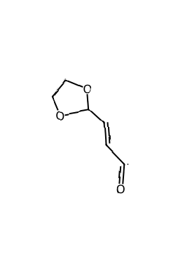 O=[C]C=CC1OCCO1